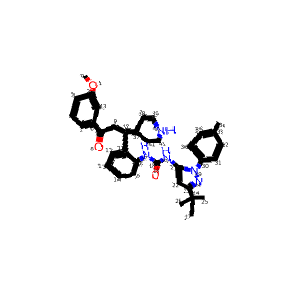 COc1cccc(C(=O)CC(c2ccccc2NC(=O)Nc2cc(C(C)(C)C)nn2-c2ccc(C)cc2)C2CCNCC2)c1